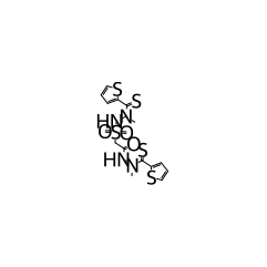 CN(NC(=O)CS(=O)(=O)NN(C)C(=S)c1cccs1)C(=S)c1cccs1